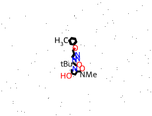 CNC(=O)C1CC(O)CN1C(=O)[C@@H](n1cc(COc2cccc(C)c2)nn1)C(C)(C)C